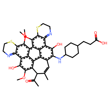 COc1c(O)c2c3c(c(OC)c4c5c(OC)c6c(c7c(O)c(NC8CCC(CCC(=O)O)CC8)c8c(c(c1C(C(C)=O)C(C)=C8)c24)c75)=NCCS6)SCCN=3